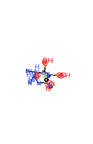 CN(CCCCCC(=O)ON1C(=O)CCC1=O)CCNC(=O)C(CCCC[N+](C)(C)C)NC(=O)C(CCCC[N+](C)(C)C)NC(=O)CCC1=[N+]2C(=Cc3c(CCCSOOO)cc(-c4ccccc4)n3[B-]2(F)F)C(CCCSOOO)=C1